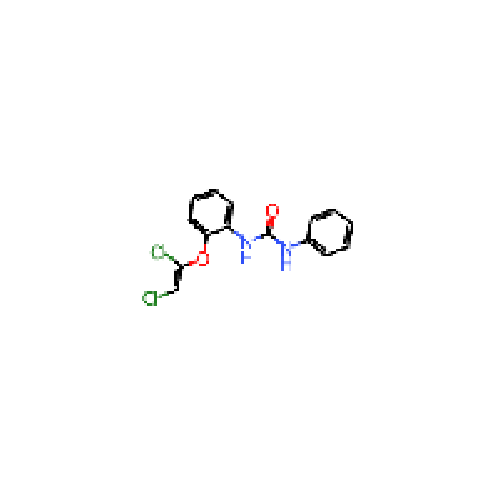 O=C(Nc1ccccc1)Nc1ccccc1OC(Cl)=CCl